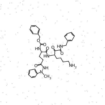 CN(NC(=O)CCC(NC(=O)OCc1ccccc1)C(=O)NC(CCCCN)C(=O)C(=O)NCc1ccccc1)c1ccccc1